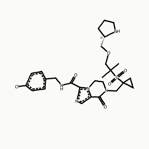 CC(C)(COC[C@@H]1CCCN1)S(=O)(=O)C1(CN2CCn3c(cnc3C(=O)NCc3ccc(Cl)cc3)C2=O)CC1